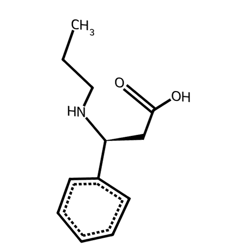 CCCN[C@@H](CC(=O)O)c1ccccc1